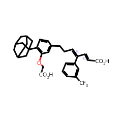 O=C(O)/C=C/C(=C/CCc1ccc(C23CC4CC(CC(C4)C2)C3)c(OCC(=O)O)c1)c1cccc(C(F)(F)F)c1